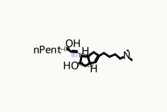 CCCCC[C@H](O)/C=C/[C@@H]1[C@H]2CC(CCCCN(C)C)=C[C@H]2C[C@H]1O